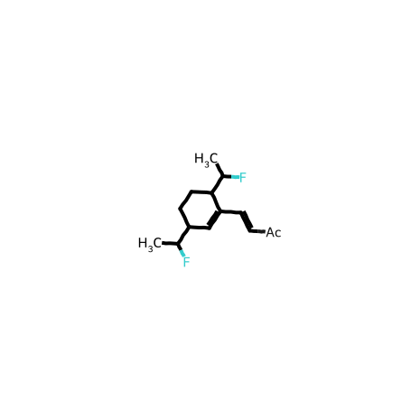 CC(=O)C=CC1=CC(C(C)F)CCC1C(C)F